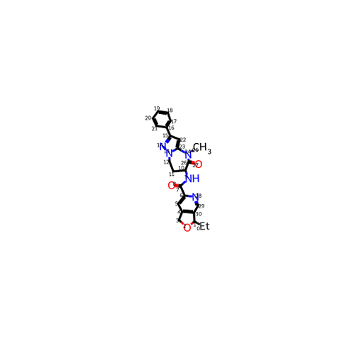 CCC1OCc2cc(C(=O)NC3CCn4nc(-c5ccccc5)cc4N(C)C3=O)ncc21